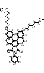 CCOC(=O)CCCCCOc1ccc2c(c1)CCc1c3c(c4c(c1-2)-c1ccc(OCCCCCC=O)cc1CC4)C(=O)N(c1ccccc1)C3=O